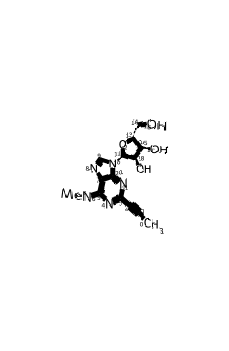 CC#Cc1nc(NC)c2ncn([C@@H]3O[C@H](CO)[C@@H](O)[C@H]3O)c2n1